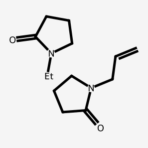 C=CCN1CCCC1=O.CCN1CCCC1=O